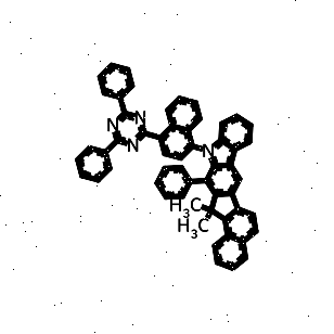 CC1(C)c2c(cc3c4ccccc4n(-c4ccc(-c5nc(-c6ccccc6)nc(-c6ccccc6)n5)c5ccccc45)c3c2-c2ccccc2)-c2ccc3ccccc3c21